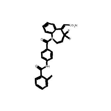 Cc1ccccc1C(=O)Nc1ccc(C(=O)N2CCC(F)(F)C(=CC(=O)O)c3ccccc32)cc1